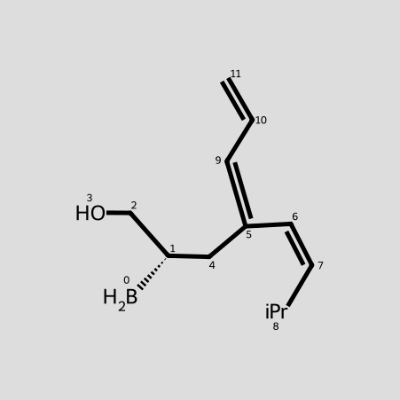 B[C@H](CO)CC(/C=C\C(C)C)=C/C=C